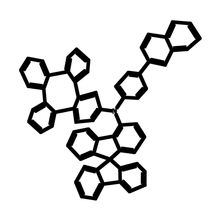 c1ccc2c(c1)-c1ccccc1-c1ccc(N(c3ccc(-c4ccc5ccccc5c4)cc3)c3cccc4c3-c3ccccc3C43c4ccccc4-c4ccccc43)cc1-c1ccccc1-2